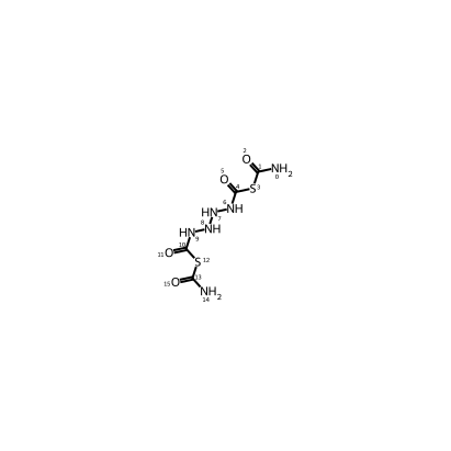 NC(=O)SC(=O)NNNNC(=O)SC(N)=O